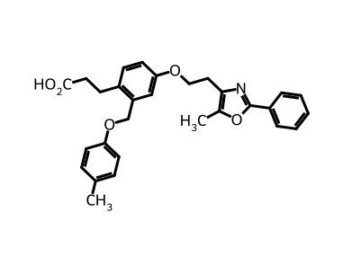 Cc1ccc(OCc2cc(OCCc3nc(-c4ccccc4)oc3C)ccc2CCC(=O)O)cc1